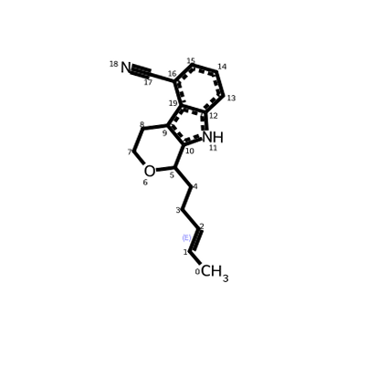 C/C=C/CCC1OCCc2c1[nH]c1cccc(C#N)c21